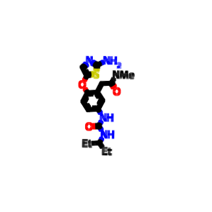 CCC(CC)NC(=O)Nc1ccc(Oc2cnc(N)s2)c(CC(=O)NC)c1